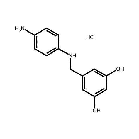 Cl.Nc1ccc(NCc2cc(O)cc(O)c2)cc1